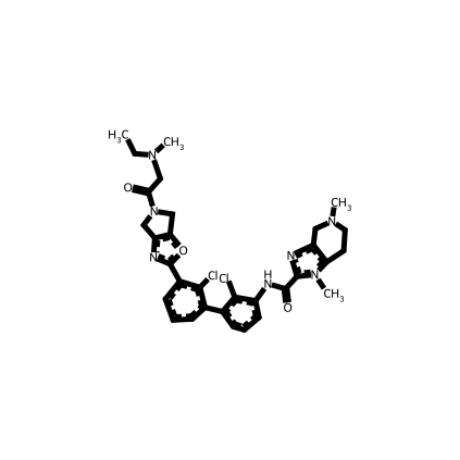 CCN(C)CC(=O)N1Cc2nc(-c3cccc(-c4cccc(NC(=O)c5nc6c(n5C)CCN(C)C6)c4Cl)c3Cl)oc2C1